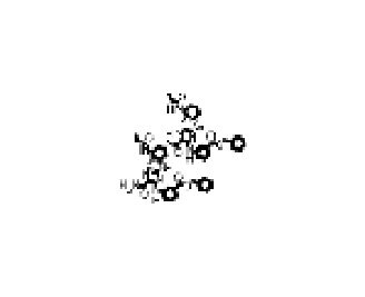 C=CC(=O)NC1CCC[C@@H](N(C)c2cnc(C(=O)NC3CC(NC(=O)C=C)[C@H](C)[C@H](N(C)c4nnc(C(N)=O)c(Nc5cccc(C(=O)OCc6ccccc6)c5)n4)C3)c(Nc3cccc(C(=O)OCc4ccccc4)c3)n2)[C@H]1C